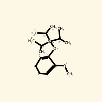 COC1=C[CH]CC=C1O[Si](C(C)C)(C(C)C)C(C)C